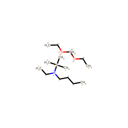 CCCCN(CC)[Si](C)(C)C.CCO[SiH2]OCC